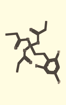 CCC(=O)O[Si](CCc1c(F)cc(F)cc1F)(OC(=O)CC)OC(=O)CC